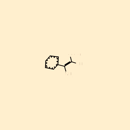 CCOC(=O)/C(C)=C(/N)c1ccccc1